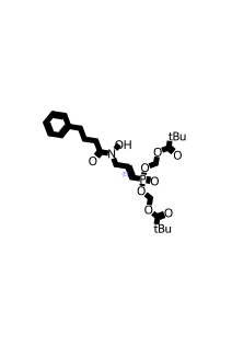 CC(C)(C)C(=O)OCOP(=O)(/C=C/CN(O)C(=O)CCCc1ccccc1)OCOC(=O)C(C)(C)C